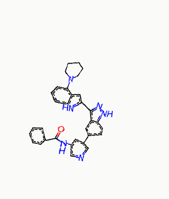 O=C(Nc1cncc(-c2ccc3[nH]nc(-c4cc5c(N6CCCCC6)cccc5[nH]4)c3c2)c1)c1ccccc1